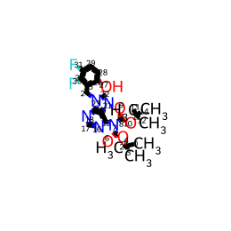 CC(C)(C)OC(=O)N(C(=O)OC(C)(C)C)c1ncnc2c1ncn2Cc1c(O)ccc(F)c1F